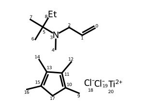 C=CCN(C)C(C)(C)CC.CC1=C(C)C(C)=C(C)C1.[Cl-].[Cl-].[Ti+2]